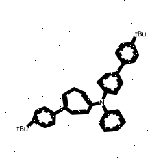 CC(C)(C)c1ccc(C2=CCC=C(N(c3ccccc3)c3ccc(-c4ccc(C(C)(C)C)cc4)cc3)C=C2)cc1